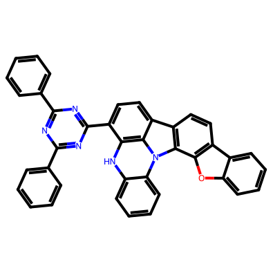 c1ccc(-c2nc(-c3ccccc3)nc(-c3ccc4c5ccc6c7ccccc7oc6c5n5c4c3Nc3ccccc3-5)n2)cc1